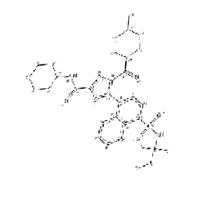 CCC(C)(C)NS(=O)(=O)c1ccc(-c2sc(C(=O)NC3CCCCC3)nc2C(=O)N2CCC(C)CC2)c2ccccc12